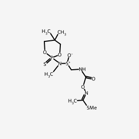 CSC(C)=NOC(=O)NC[S+]([O-])N(C)P1(=S)OCC(C)(C)CO1